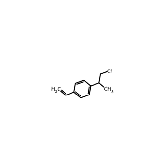 C=Cc1ccc(C(C)CCl)cc1